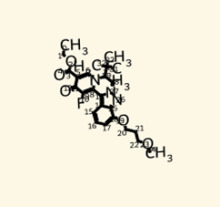 CCOC(=O)c1cn2c(c(F)c1=O)-c1c3cccc(OCCCOC)c3nn1CC2C(C)(C)C